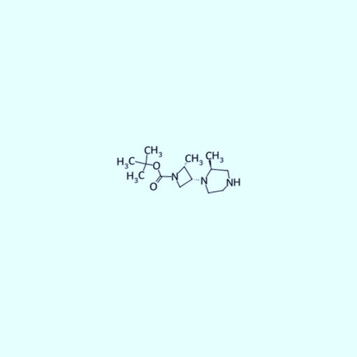 C[C@@H]1[C@H](N2CCNC[C@@H]2C)CN1C(=O)OC(C)(C)C